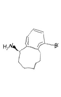 N[C@@H]1CCCCc2c(Br)cccc21